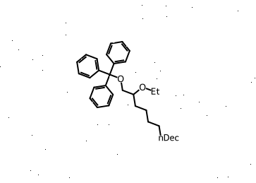 CCCCCCCCCCCCCCC(COC(c1ccccc1)(c1ccccc1)c1ccccc1)OCC